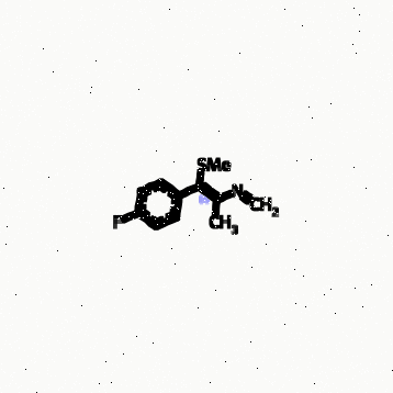 C=N/C(C)=C(\SC)c1ccc(F)cc1